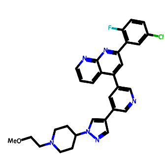 COCCN1CCC(n2cc(-c3cncc(-c4cc(-c5cc(Cl)ccc5F)nc5ncccc45)c3)cn2)CC1